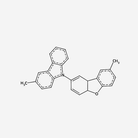 Cc1ccc2c(c1)C1C=C(n3c4ccccc4c4cc(C)ccc43)C=CC1O2